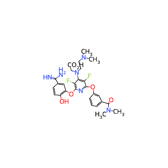 CN(C)CCN(CC(=O)O)c1c(F)c(Oc2cccc(C(=O)N(C)C)c2)nc(Oc2cc(C(=N)N)ccc2O)c1F